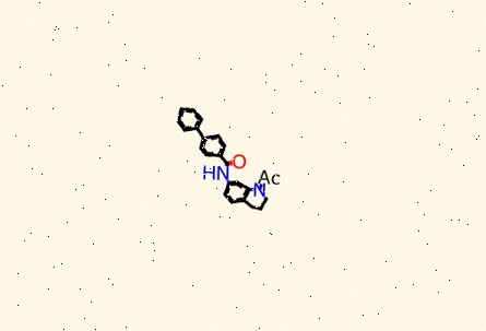 CC(=O)N1CCCc2ccc(NC(=O)c3ccc(-c4ccccc4)cc3)cc21